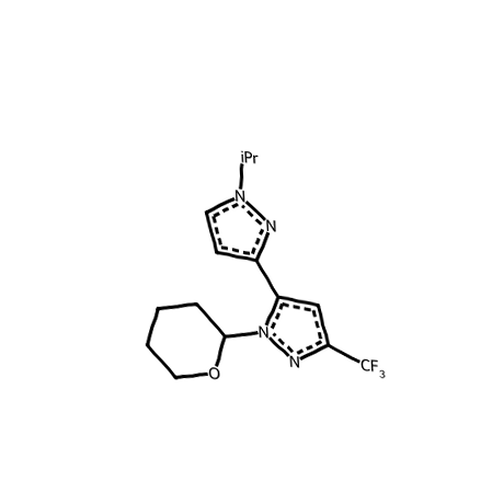 CC(C)n1ccc(-c2cc(C(F)(F)F)nn2C2CCCCO2)n1